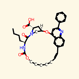 CCCC[C@@H]1NC(=O)OCCCCC/C=C\c2ccc3nc(-c4ccccc4)cc(c3c2)O[C@@H]2C[C@@H](C(=O)O)N(C2)C1=O